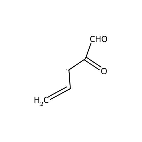 C=C[CH]C(=O)C=O